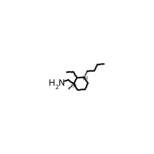 CCCC[C@H]1CCC[C@](C)(CN)C1CC